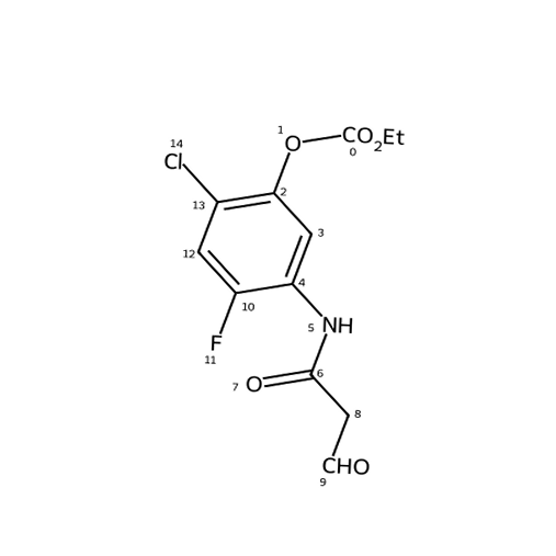 CCOC(=O)Oc1cc(NC(=O)CC=O)c(F)cc1Cl